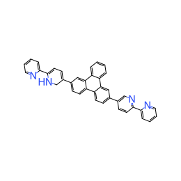 C1=C(c2ccc3c4ccc(-c5ccc(-c6ccccn6)nc5)cc4c4ccccc4c3c2)CNC(c2ccccn2)=C1